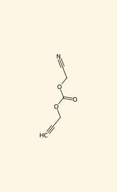 C#CCOC(=O)OCC#N